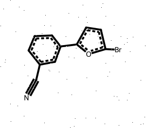 N#Cc1cccc(-c2ccc(Br)o2)c1